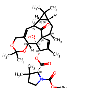 CC1=C[C@]23C(=O)[C@@H](C=C4COC(C)(C)O[C@H]4[C@]2(O)[C@H]1OC(=O)[C@@H]1N(C(=O)OC(C)(C)C)CCC1(C)C)[C@H]1[C@@H](C[C@H]3C)C1(C)C